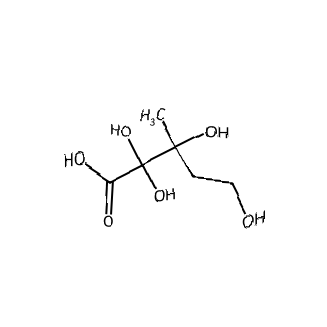 CC(O)(CCO)C(O)(O)C(=O)O